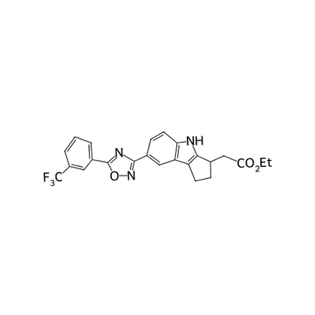 CCOC(=O)CC1CCc2c1[nH]c1ccc(-c3noc(-c4cccc(C(F)(F)F)c4)n3)cc21